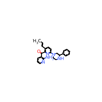 C/C=C/c1ccc(N2CCNC(c3ccccc3)C2)nc1C(=O)c1cccnc1N